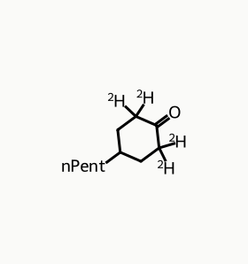 [2H]C1([2H])CC(CCCCC)CC([2H])([2H])C1=O